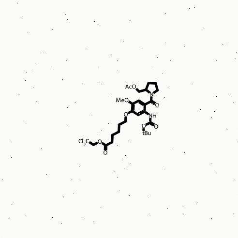 COc1cc(C(=O)N2CCCC2COC(C)=O)c(NC(=O)OC(C)(C)C)cc1OCCCCCC(=O)OCC(Cl)(Cl)Cl